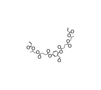 C=CC(=O)OC(C)COC(=O)CCC(=O)Oc1ccc(OC(=O)CCC(=O)OCC(C)OC(=O)C=C)c(C=O)c1